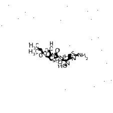 CC(C)=CC(=O)OCC1=C(C(=O)O)N2C(=O)[C@@H](NC(=O)/C(=N\O)c3csc(N)n3)[C@H]2SC1